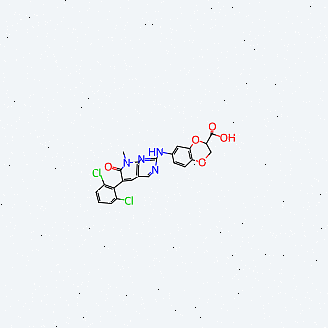 Cn1c(=O)c(-c2c(Cl)cccc2Cl)cc2cnc(Nc3ccc4c(c3)OC(C(=O)O)CO4)nc21